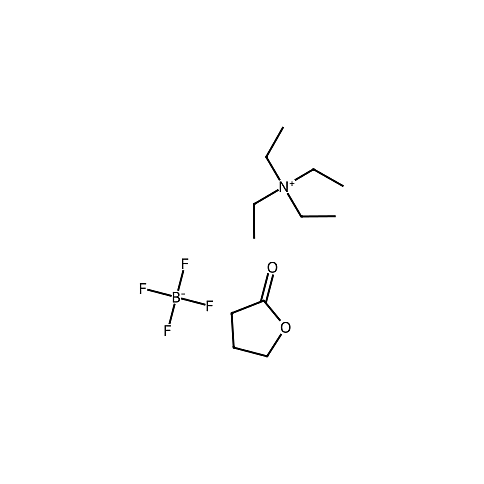 CC[N+](CC)(CC)CC.F[B-](F)(F)F.O=C1CCCO1